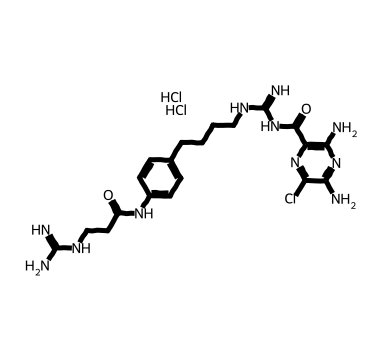 Cl.Cl.N=C(N)NCCC(=O)Nc1ccc(CCCCNC(=N)NC(=O)c2nc(Cl)c(N)nc2N)cc1